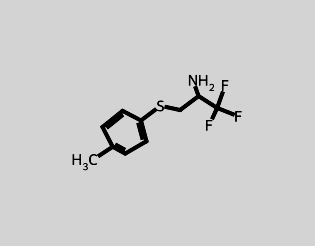 Cc1ccc(SCC(N)C(F)(F)F)cc1